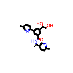 Cc1ccc(-c2cc(C(=O)N[C@H](C)c3ccc(C)nc3)cc(C(O)CO)c2)nc1